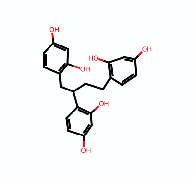 Oc1ccc(CCC(Cc2ccc(O)cc2O)c2ccc(O)cc2O)c(O)c1